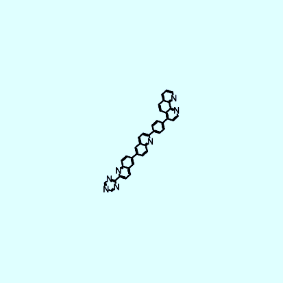 c1cnc2c(c1)ccc1c(-c3ccc(-c4ccc5cc(-c6ccc7nc(-c8ncncn8)ccc7c6)ccc5n4)cc3)ccnc12